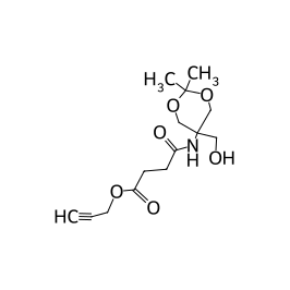 C#CCOC(=O)CCC(=O)NC1(CO)COC(C)(C)OC1